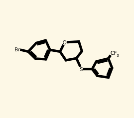 FC(F)(F)c1cccc(SC2CCOC(c3ccc(Br)cc3)C2)c1